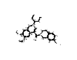 CCC(CC)N1C=C(C(=O)N2CCc3ccc(N)cc3C2)c2cc(OC)c(OC)cc2C1